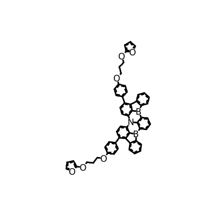 c1coc(OCCCOc2ccc(-c3ccc4c5c3-c3ccccc3B5c3cccc5c3N4c3ccc(-c4ccc(OCCCOc6ccco6)cc4)c4c3B5c3ccccc3-4)cc2)c1